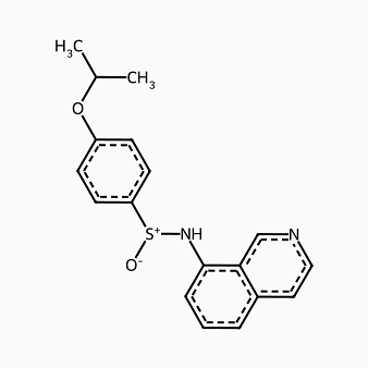 CC(C)Oc1ccc([S+]([O-])Nc2cccc3ccncc23)cc1